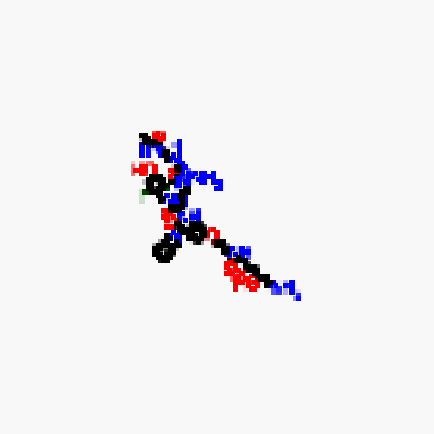 CCC(=O)NCCNC(=O)/N=C(/N)NCCC[C@@H](NC(=O)[C@H](c1ccc(OCCCNC(=O)C[C@H](O)C[C@H](O)CCN)cc1)N1Cc2ccccc2C1)C(=O)NCc1c(F)cc(O)cc1F